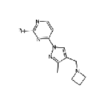 [2H]c1nccc(-n2cc(CN3CCC3)c(C)n2)n1